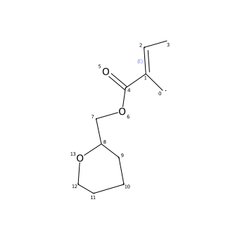 [CH2]/C(=C\C)C(=O)OCC1CCCCO1